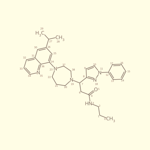 CCCNC(=O)CC(c1ccn(-c2ccccc2)n1)N1CCCN(c2cc(C(C)C)cc3cccnc23)CC1